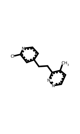 Cc1ccnnc1[CH]Cc1ccnc(Cl)c1